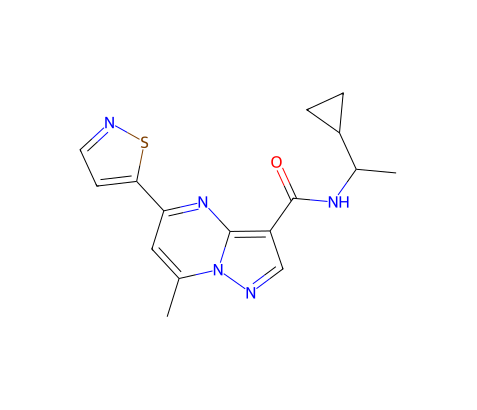 Cc1cc(-c2ccns2)nc2c(C(=O)NC(C)C3CC3)cnn12